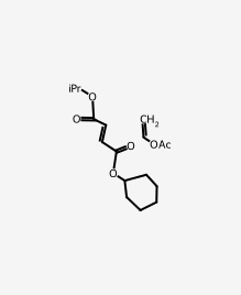 C=COC(C)=O.CC(C)OC(=O)/C=C/C(=O)OC1CCCCC1